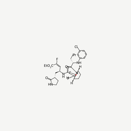 CCOC(=O)/C(F)=C\[C@H](C[C@@H]1CCNC1=O)NC(=O)[C@@H]1[C@H]2CC[C@H](CC2(F)F)N1C(=O)[C@H](CC(C)C)Nc1cccc(Cl)c1